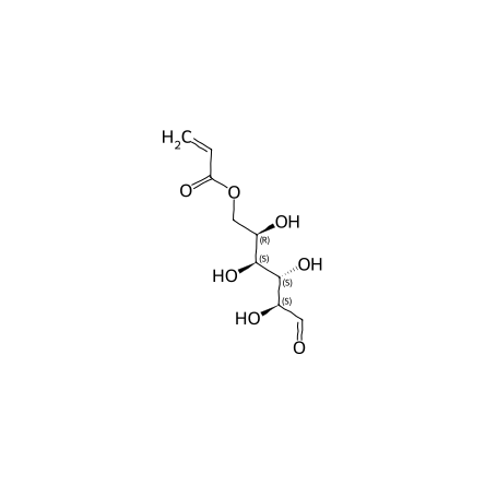 C=CC(=O)OC[C@@H](O)[C@H](O)[C@H](O)[C@H](O)C=O